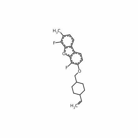 C=CC1CCC(COc2ccc3c(oc4c(F)c(C)ccc43)c2F)CC1